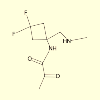 CNCC1(NC(=O)C(C)=O)CC(F)(F)C1